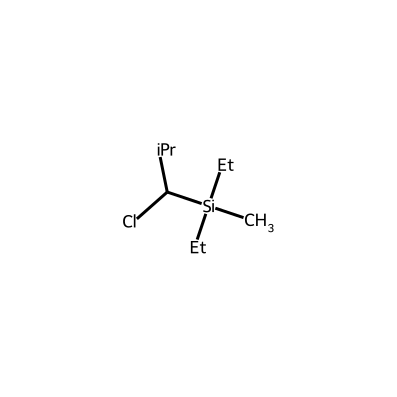 CC[Si](C)(CC)C(Cl)C(C)C